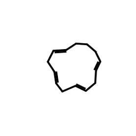 [CH]1/C=C/C/C=C/C/C=C/C/C=C/CC1